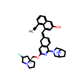 C#Cc1cccc2cc(O)cc(/C=C3\C=Cc4c(cc(OC[C@@]56CCCN5CC(F)C6)nc4N4CC5CCC(C4)N5)C3)c12